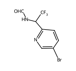 O=CNC(c1ccc(Br)cn1)C(F)(F)F